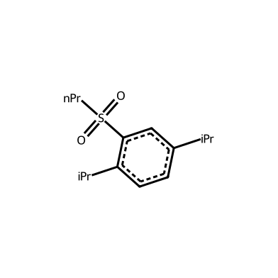 CCCS(=O)(=O)c1cc(C(C)C)ccc1C(C)C